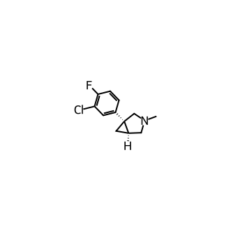 CN1C[C@H]2C[C@@]2(c2ccc(F)c(Cl)c2)C1